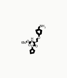 CC(C)(C)OC(=O)N[C@@H](CCOc1ccc(CN)cc1)C(=O)OC1CCCC1